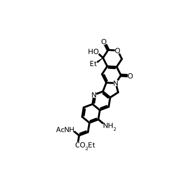 CCOC(=O)C(=Cc1ccc2nc3c(cc2c1N)Cn1c-3cc2c(c1=O)COC(=O)[C@]2(O)CC)NC(C)=O